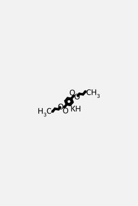 CCCCOC(=O)c1ccc(C(=O)OCCCC)cc1.[KH]